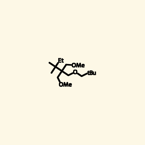 CCC(C)(C)C(COC)(COC)COCC(C)(C)C